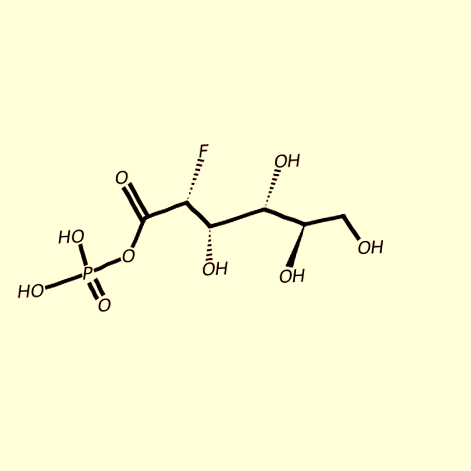 O=C(OP(=O)(O)O)[C@H](F)[C@@H](O)[C@H](O)[C@H](O)CO